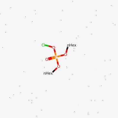 CCCCCCOP(=O)(OCl)OCCCCCC